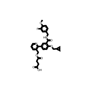 COc1ccc(CNC(=O)c2cc(-c3ncccc3COC(=O)CCC(=O)O)ccc2OCC2CC2)cc1F